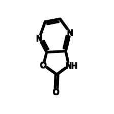 O=c1[nH]c2nccnc2o1